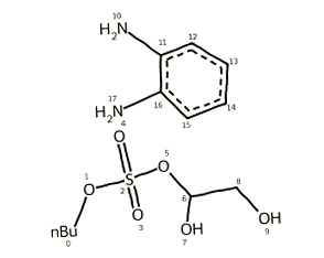 CCCCOS(=O)(=O)OC(O)CO.Nc1ccccc1N